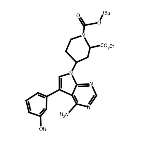 CCOC(=O)C1CC(n2cc(-c3cccc(O)c3)c3c(N)ncnc32)CCN1C(=O)OC(C)(C)C